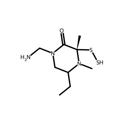 CCC1CN(CN)C(=O)[C@](C)(SS)N1C